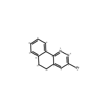 CC(C)c1cc2c(nn1)-c1ccccc1CC2